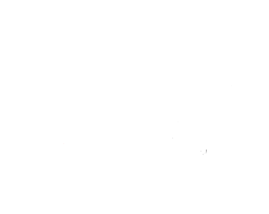 COc1cc(CCCOS(C)(=O)=O)ccc1OCc1ccccc1